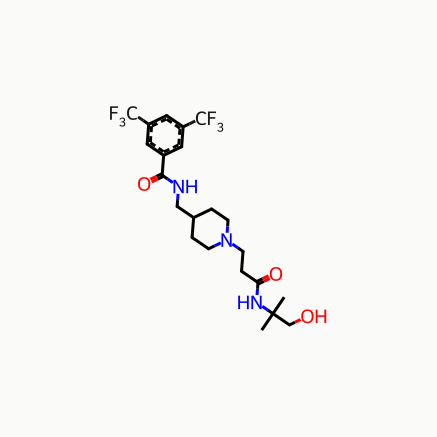 CC(C)(CO)NC(=O)CCN1CCC(CNC(=O)c2cc(C(F)(F)F)cc(C(F)(F)F)c2)CC1